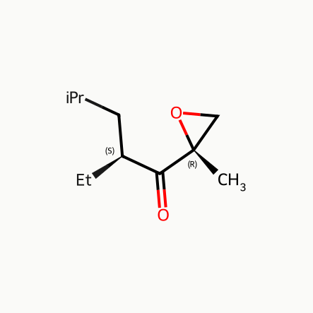 CC[C@@H](CC(C)C)C(=O)[C@@]1(C)CO1